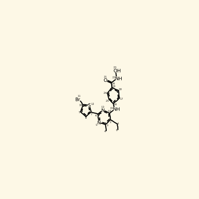 CCc1c(C)nc(-c2ccc(Br)s2)nc1Nc1ccc(C(=O)NO)cc1